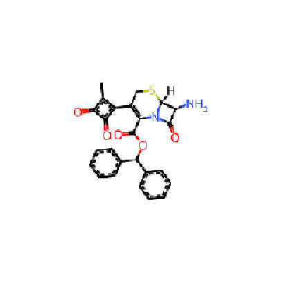 Cc1c(C2=C(C(=O)OC(c3ccccc3)c3ccccc3)N3C(=O)C(N)[C@H]3SC2)c(=O)c1=O